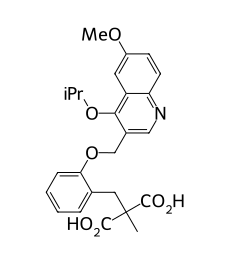 COc1ccc2ncc(COc3ccccc3CC(C)(C(=O)O)C(=O)O)c(OC(C)C)c2c1